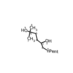 CCCCCCC(O)CCC(C)(C)O